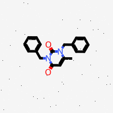 Cc1cc(=O)n(Cc2ccccc2)c(=O)n1Cc1ccccc1